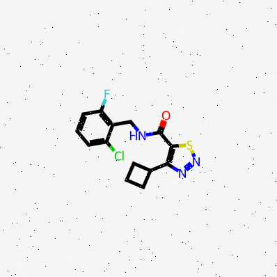 O=C(NCc1c(F)cccc1Cl)c1snnc1C1CCC1